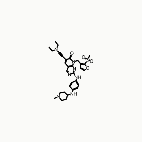 CCN(C#Cc1cc2cnc(Nc3ccc(NC4CCN(C)CC4)cc3)nc2n(Cc2ccoc2S(C)(=O)=O)c1=O)CC